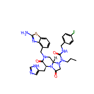 CCCN(C(=O)NCc1ccc(F)cc1)N1CC(=O)N2[C@@H](Cc3cnc[nH]3)C(=O)N(Cc3cccc4sc(N)nc34)C[C@@H]21